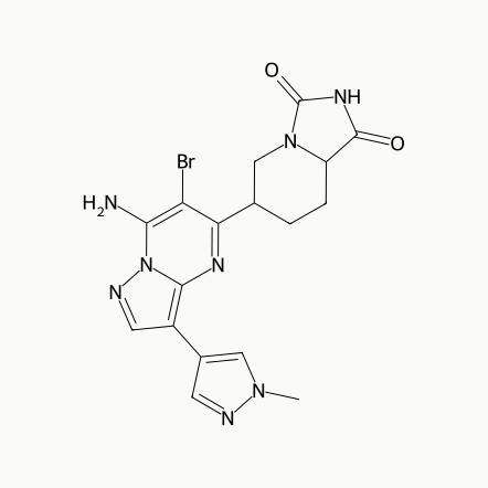 Cn1cc(-c2cnn3c(N)c(Br)c(C4CCC5C(=O)NC(=O)N5C4)nc23)cn1